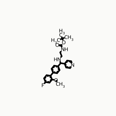 COc1cc(F)ccc1-c1ccc(C(NCCNC(=O)OC(C)(C)C)c2ccncc2)cc1